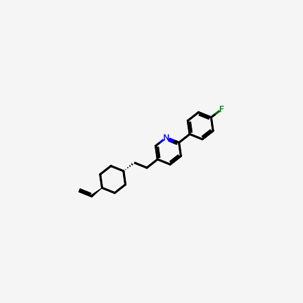 C=C[C@H]1CC[C@H](CCc2ccc(-c3ccc(F)cc3)nc2)CC1